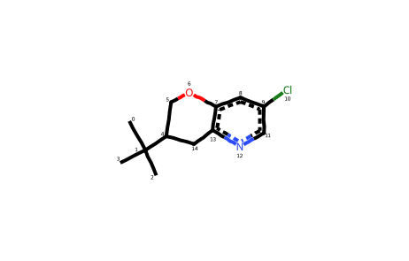 CC(C)(C)C1COc2cc(Cl)cnc2C1